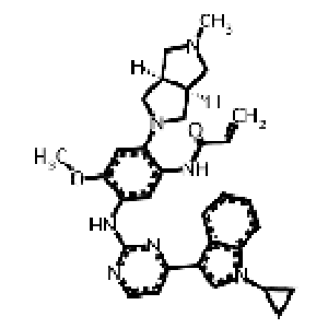 C=CC(=O)Nc1cc(Nc2nccc(-c3cn(C4CC4)c4ccccc34)n2)c(OC)cc1N1C[C@H]2CN(C)C[C@H]2C1